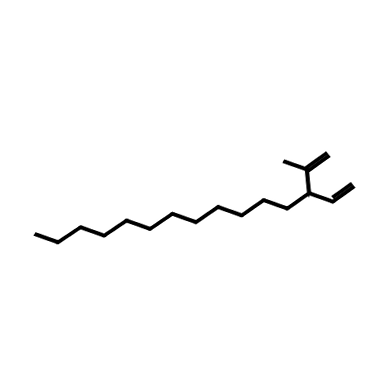 C=C[C](CCCCCCCCCCCC)C(=C)C